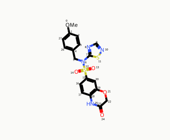 COc1ccc(CN(c2ncns2)S(=O)(=O)c2ccc3c(c2)OCC(=O)N3)cc1